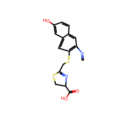 C=Nc1cc2ccc(O)cc2cc1SCC1=NC(C(=O)O)CS1